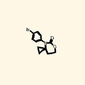 O=C1OCCC2(CC2)N1c1ccc(Br)cc1